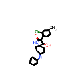 Cc1ccc(C2=C(O)C3(CCC(=Nc4ccccc4)CC3)NC2=O)c(Cl)c1